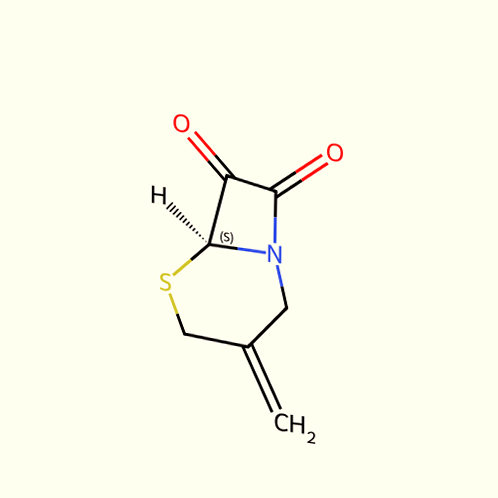 C=C1CS[C@H]2C(=O)C(=O)N2C1